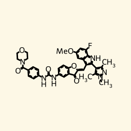 COc1cc(F)c2[nH]c(-c3c(C)nn(C)c3C)c(C=C3Oc4ccc(NC(=O)Nc5ccc(C(=O)N6CCOCC6)cc5)cc4C3=O)c2c1